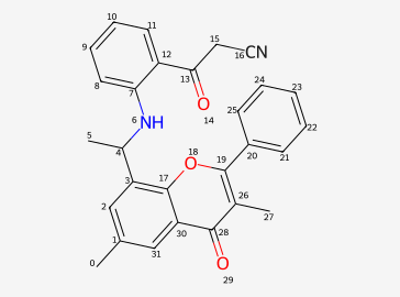 Cc1cc(C(C)Nc2ccccc2C(=O)CC#N)c2oc(-c3ccccc3)c(C)c(=O)c2c1